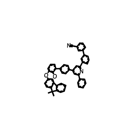 CC1(C)c2ccccc2-c2c1ccc1c2Oc2c(cccc2-c2ccc(-c3cc(-c4ccccc4)nc(-c4cccc(-c5cccc(C#N)c5)c4)c3)cc2)O1